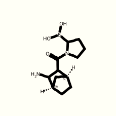 NC1C(C(=O)N2CCCC2B(O)O)[C@H]2CC[C@@H]1C2